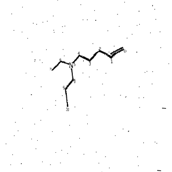 C=CCCCN(CC)CCC